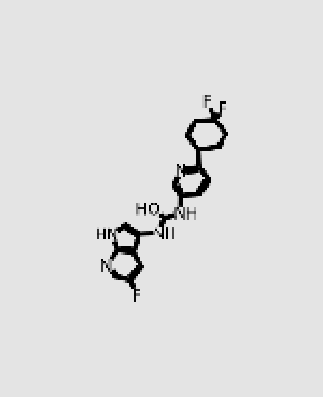 OC(Nc1ccc(C2CCC(F)(F)CC2)nc1)Nc1c[nH]c2ncc(F)cc12